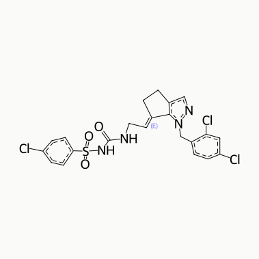 O=C(NC/C=C1\CCc2cnn(Cc3ccc(Cl)cc3Cl)c21)NS(=O)(=O)c1ccc(Cl)cc1